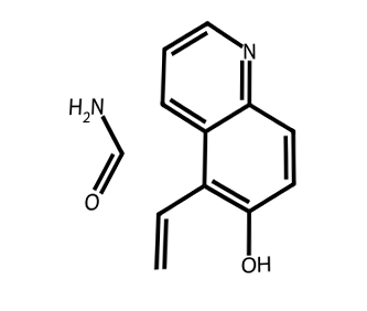 C=Cc1c(O)ccc2ncccc12.NC=O